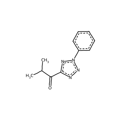 CC(C)C(=O)c1nnn(-c2ccccc2)n1